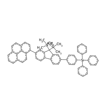 C[Si](C)(C)C1([Si](C)(C)C)c2cc(-c3ccc([Si](c4ccccc4)(c4ccccc4)c4ccccc4)cc3)ccc2-c2ccc(-c3ccc4ccc5cccc6ccc3c4c56)cc21